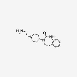 NCCN1CCC(N2CCc3ccccc3NC2=O)CC1